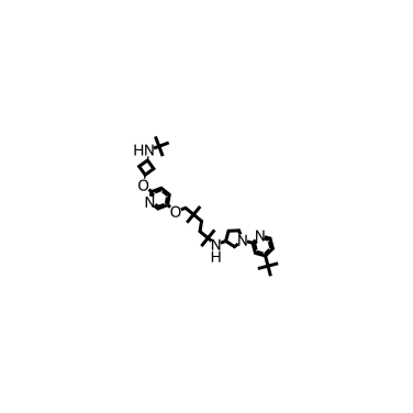 CC(C)(CCC(C)(C)NC1CCN(c2cc(C(C)(C)C)ccn2)C1)COc1ccc(O[C@H]2C[C@@H](NC(C)(C)C)C2)nc1